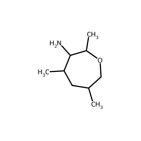 CC1COC(C)C(N)C(C)C1